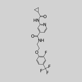 O=C(NCCOc1ccc(C(F)(F)F)cc1F)c1ccnc(NC(=O)C2CC2)c1